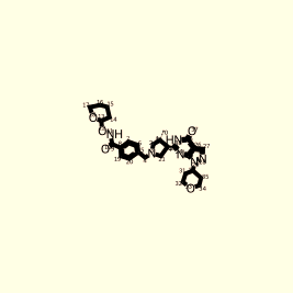 C[C@H]1CN(Cc2ccc(C(=O)NOC3CCCCO3)cc2)C[C@@H]1c1nc2c(cnn2C2CCOCC2)c(=O)[nH]1